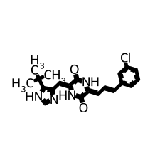 CC(C)(C)c1[nH]cnc1/C=c1\[nH]c(=O)/c(=C/C=C/c2cccc(Cl)c2)[nH]c1=O